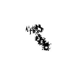 CNc1ccccc1C(=N)CN1CCCC2(CCN(c3cnc4ccccc4n3)CC2)C1=O